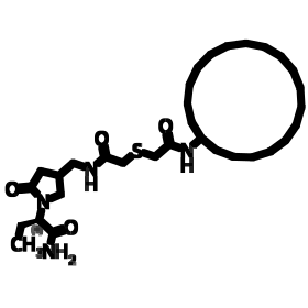 CC[C@H](C(N)=O)N1CC(CNC(=O)CSCC(=O)NC2CCCCCCCCCCCCCCCCCC2)CC1=O